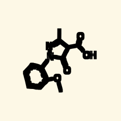 COc1ccccc1N1N=C(C)C(C(=O)O)C1=O